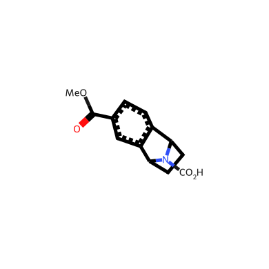 COC(=O)c1ccc2c(c1)C1CCC2N1C(=O)O